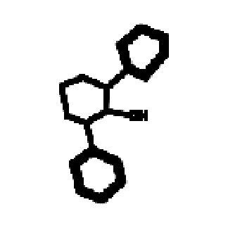 OC1C(c2ccccc2)CCCC1c1ccccc1